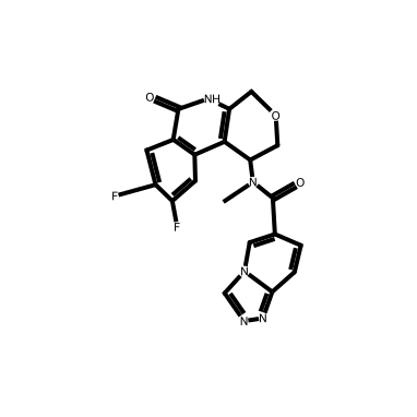 CN(C(=O)c1ccc2nncn2c1)C1COCc2[nH]c(=O)c3cc(F)c(F)cc3c21